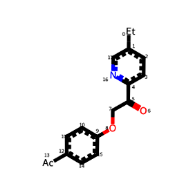 CCc1ccc(C(=O)COc2ccc(C(C)=O)cc2)nc1